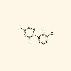 Clc1cnc(-c2cccc(Cl)c2Cl)c(I)n1